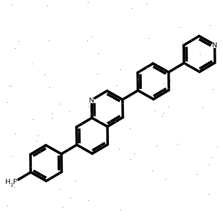 Pc1ccc(-c2ccc3cc(-c4ccc(-c5ccncc5)cc4)cnc3c2)cc1